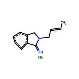 Br.C/C=C/CN1Cc2ccccc2C1=N